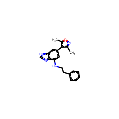 Cc1noc(C)c1-c1cc(NCCc2ccccc2)c2nc[nH]c2c1